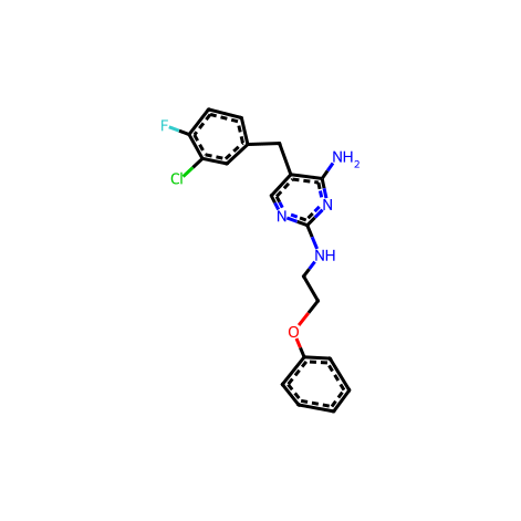 Nc1nc(NCCOc2ccccc2)ncc1Cc1ccc(F)c(Cl)c1